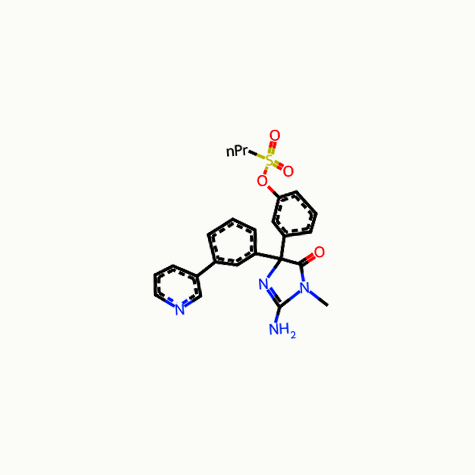 CCCS(=O)(=O)Oc1cccc(C2(c3cccc(-c4cccnc4)c3)N=C(N)N(C)C2=O)c1